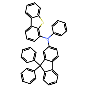 c1ccc(N(c2ccc3c(c2)C(c2ccccc2)(c2ccccc2)c2ccccc2-3)c2cccc3c2sc2ccccc23)cc1